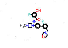 CN1CCN(c2ccc(-c3cc(CN4CCOCC4)ccc3F)cc2NC(=O)c2cc(O)cc(F)c2F)CC1